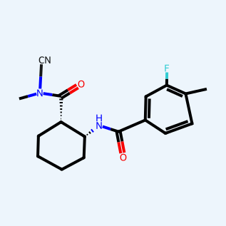 Cc1ccc(C(=O)N[C@@H]2CCCC[C@@H]2C(=O)N(C)C#N)cc1F